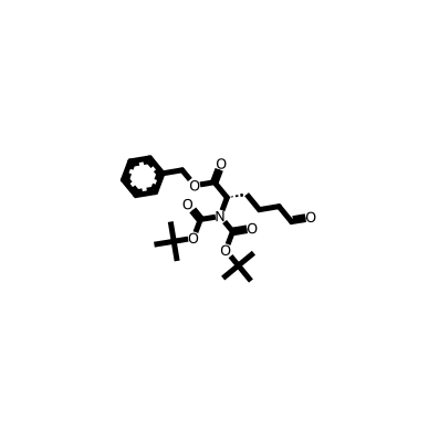 CC(C)(C)OC(=O)N(C(=O)OC(C)(C)C)[C@@H](CCCC=O)C(=O)OCc1ccccc1